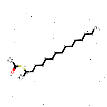 CCCCCCCCCCCCCCC(C)SC(C)=O